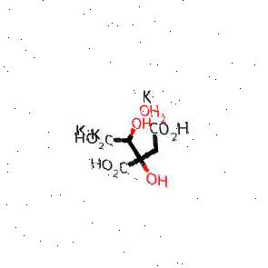 O.O=C(O)CC(O)(C(=O)O)C(O)C(=O)O.[K].[K].[K]